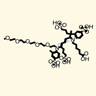 COCCOCCOCCOCCOCCN(/C(=C/C=C/C1=[N+](CCCCCC(=O)O)c2ccc(S(=O)(=O)O)cc2C1(C)CCCS(=O)(=O)O)CCCS(=O)(=O)O)c1ccc(S(=O)(=O)O)cc1C